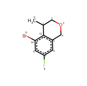 CC1COCc2cc(F)cc(Br)c21